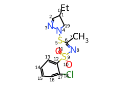 CCC1C=NN(SC(C)=NS(=O)(=O)c2ccccc2Cl)C1